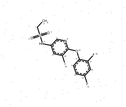 CCS(=O)(=O)Nc1cnc(Oc2ccc(F)cc2F)c(I)c1